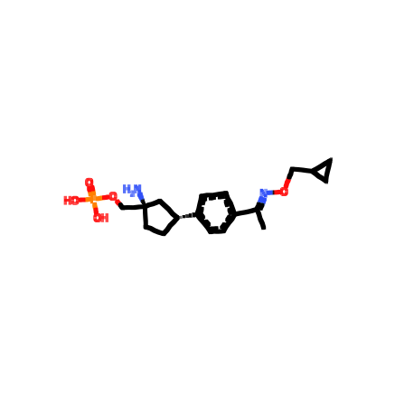 CC(=NOCC1CC1)c1ccc([C@@H]2CC[C@](N)(COP(=O)(O)O)C2)cc1